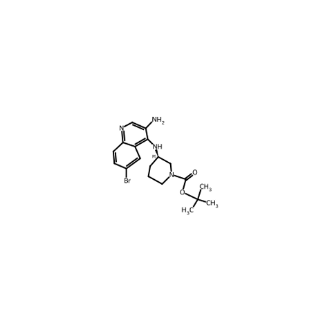 CC(C)(C)OC(=O)N1CCC[C@@H](Nc2c(N)cnc3ccc(Br)cc23)C1